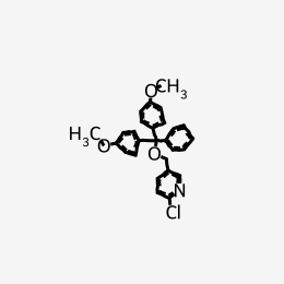 COc1ccc(C(OCc2ccc(Cl)nc2)(c2ccccc2)c2ccc(OC)cc2)cc1